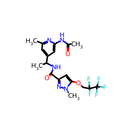 CC(=O)Nc1cc(C(C)NC(=O)c2cc(OCC(F)(F)C(F)(F)F)n(C)n2)cc(C)n1